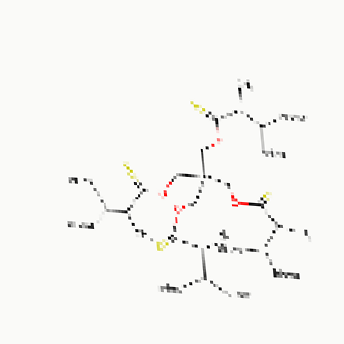 CCCCCCC(CCCCC)C(C)C(=S)OCC(COC(=S)C(C)C(CCCCC)CCCCCC)(COC(=S)C(C)C(CCCCC)CCCCCC)COC(=S)C(C)C(CCCCC)CCCCCC